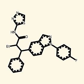 CCC(C(=O)Nc1nncs1)C(c1ccccc1)c1ccc2c(cnn2-c2ccc(F)cc2)c1